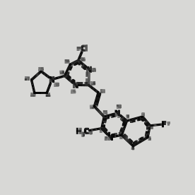 Cc1nc2ccc(F)cc2nc1/C=C/c1nc(Cl)cc(N2CCCC2)n1